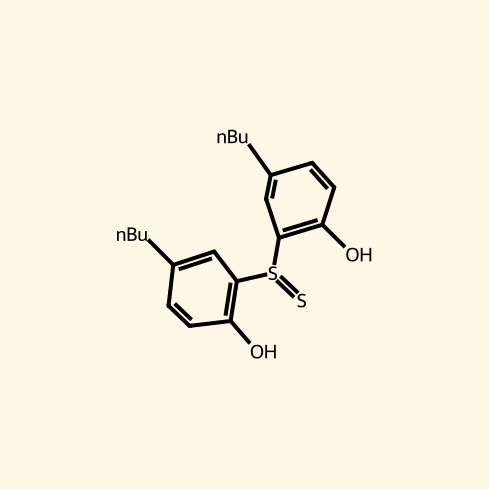 CCCCc1ccc(O)c(S(=S)c2cc(CCCC)ccc2O)c1